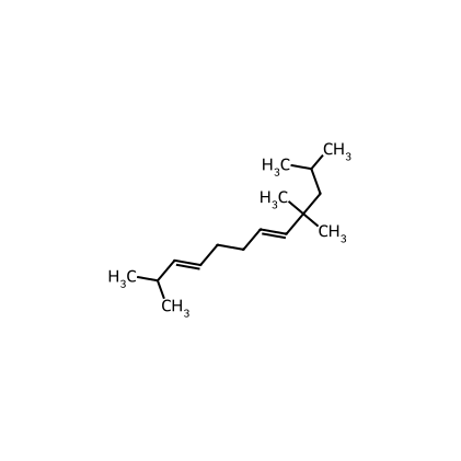 CC(C)C=CCCC=CC(C)(C)CC(C)C